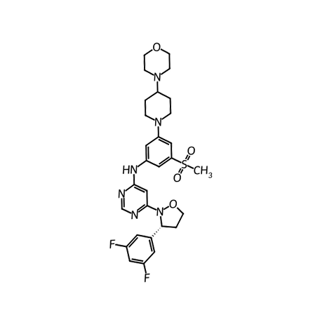 CS(=O)(=O)c1cc(Nc2cc(N3OCC[C@@H]3c3cc(F)cc(F)c3)ncn2)cc(N2CCC(N3CCOCC3)CC2)c1